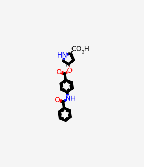 O=C(Nc1ccc(C(=O)O[C@@H]2CN[C@H](C(=O)O)C2)cc1)c1ccccc1